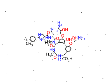 Cc1nc(-c2ccc(C3(C)CC3)cc2)ncc1C(=O)N[C@@H](CCN)C(=O)N(C)C1C(=O)N[C@@H](C)C(=O)N[C@H](C(=O)O)Cc2ccc(OC[C@H](O)CN)c(c2)-c2cc1cc(OC[C@H](O)CN)c2O